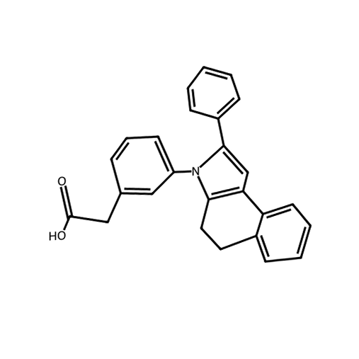 O=C(O)Cc1cccc(-n2c(-c3ccccc3)cc3c2CCc2ccccc2-3)c1